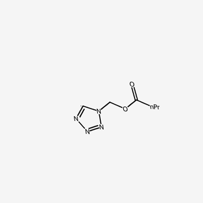 CCCC(=O)OCn1[c]nnn1